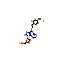 O=[N+]([O-])c1ccc(CCOc2nc3nccn3c3c2ncn3C2CCC(CO)O2)cc1